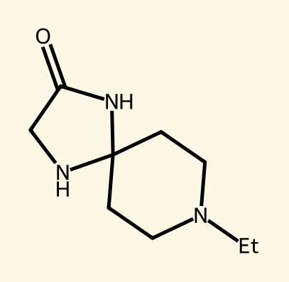 CCN1CCC2(CC1)NCC(=O)N2